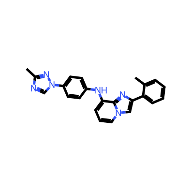 Cc1ncn(-c2ccc(Nc3cccn4cc(-c5ccccc5C)nc34)cc2)n1